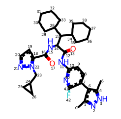 Cc1n[nH]c(C)c1-c1ccc(NC(=O)C(NC(=O)c2ccnn2CC2CC2)C(C2CCCCC2)C2CCCCC2)nc1F